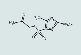 CC(=O)Nc1nc(C)c(S(=O)(=O)OCC(N)=O)s1